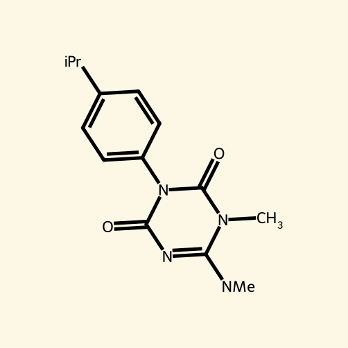 CNc1nc(=O)n(-c2ccc(C(C)C)cc2)c(=O)n1C